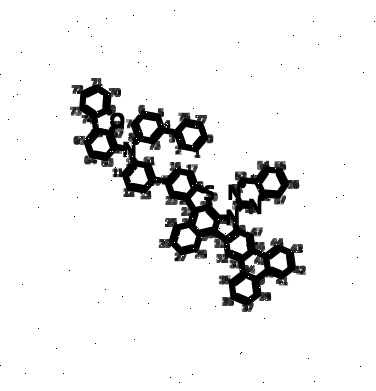 c1ccc(-c2cccc(N(c3cccc(-c4ccc5sc6c(c5c4)c4ccccc4c4c5cc7c8ccccc8c8ccccc8c7cc5n(-c5ncc7ccccc7n5)c64)c3)c3cccc4c3oc3ccccc34)c2)cc1